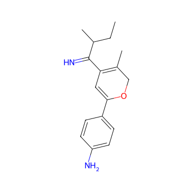 CCC(C)C(=N)C1=C(C)COC(c2ccc(N)cc2)=C1